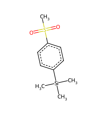 C[Si](C)(C)c1ccc(S(C)(=O)=O)cc1